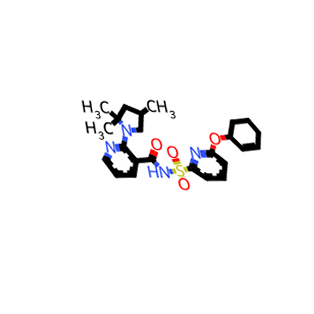 CC1CN(c2ncccc2C(=O)NS(=O)(=O)c2cccc(OC3C=CCCC3)n2)C(C)(C)C1